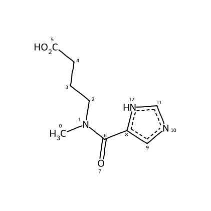 CN(CCCC(=O)O)C(=O)c1cnc[nH]1